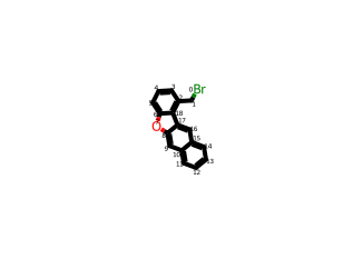 BrCc1cccc2oc3cc4ccccc4cc3c12